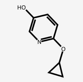 Oc1ccc(OC2CC2)nc1